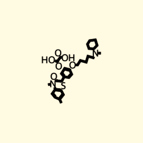 Cc1ccc2c(c1)SC(c1ccc(OCCCCCN(C)C3CCCCC3)cc1)C(=O)N2C.O=C(O)C(=O)O